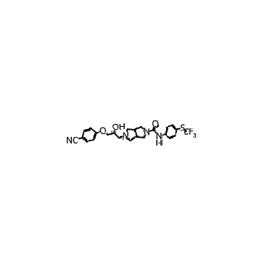 N#Cc1ccc(OC[C@@H](O)CN2CC3CN(C(=O)Nc4ccc(SC(F)(F)F)cc4)CC3C2)cc1